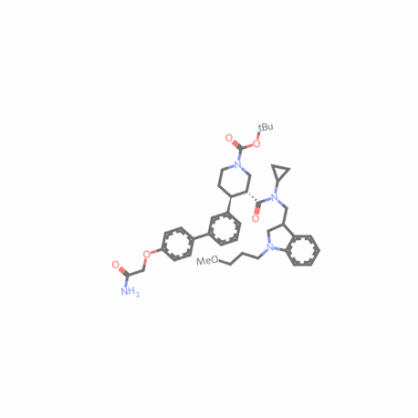 COCCCN1CC(CN(C(=O)[C@H]2CN(C(=O)OC(C)(C)C)CC[C@@H]2c2cccc(-c3ccc(OCC(N)=O)cc3)c2)C2CC2)c2ccccc21